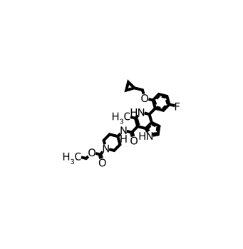 CCOC(=O)N1CCC(NC(=O)C2=C(C)NC(c3cc(F)ccc3OCC3CC3)c3cc[nH]c32)CC1